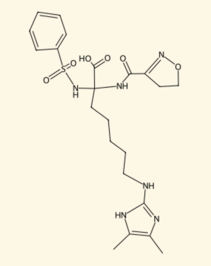 Cc1nc(NCCCCCC(NC(=O)C2=NOCC2)(NS(=O)(=O)c2ccccc2)C(=O)O)[nH]c1C